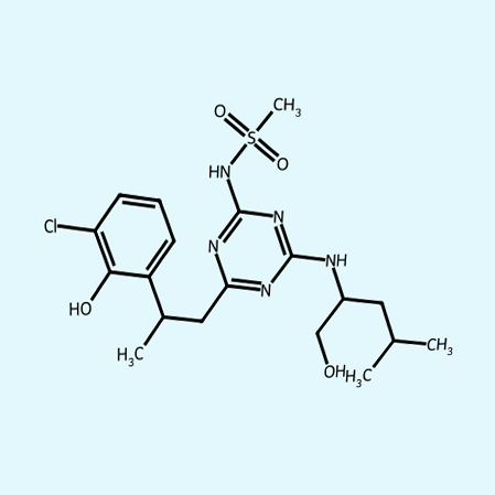 CC(C)CC(CO)Nc1nc(CC(C)c2cccc(Cl)c2O)nc(NS(C)(=O)=O)n1